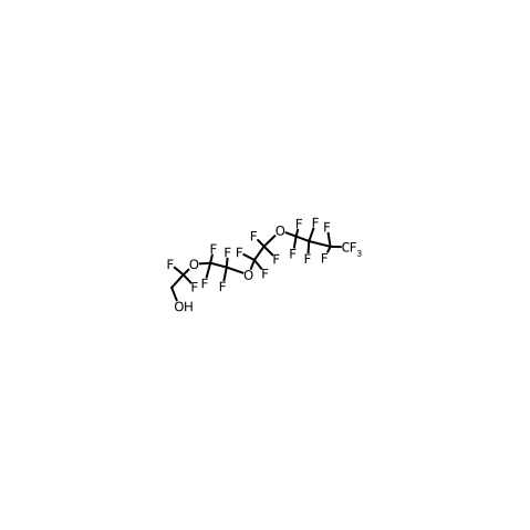 OCC(F)(F)OC(F)(F)C(F)(F)OC(F)(F)C(F)(F)OC(F)(F)C(F)(F)C(F)(F)C(F)(F)F